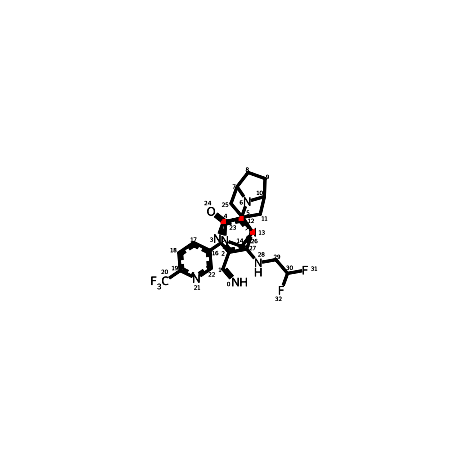 N=Cc1ncc(N2C3CCC2CC2(CCN(c4ccc(C(F)(F)F)nc4)C2=O)C3)nc1NCC(F)F